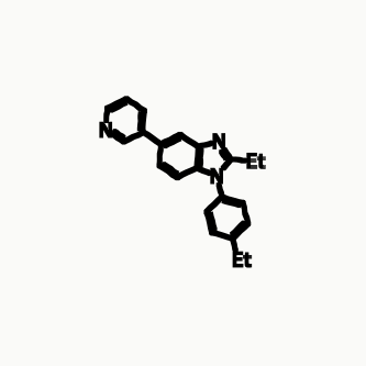 [CH2]Cc1ccc(-n2c(CC)nc3cc(-c4cccnc4)ccc32)cc1